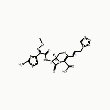 CO/N=C(\C(=O)N[C@@H]1C(=O)N2C(C(=O)O)=C(/C=C/Cn3cnnn3)SC[C@H]12)c1csc(N)n1